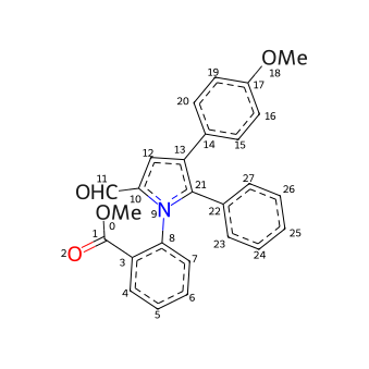 COC(=O)c1ccccc1-n1c(C=O)cc(-c2ccc(OC)cc2)c1-c1ccccc1